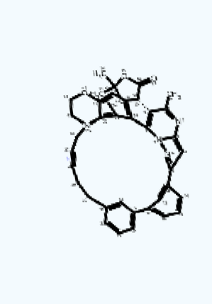 Cc1nc2cc3nn2c(c1[C@@H]1OC(C)(C)OC1=O)-c1ccc2c(c1Cl)N(C/C=C\CCc1cccc(c1)-c1cccc-3c1)CCO2